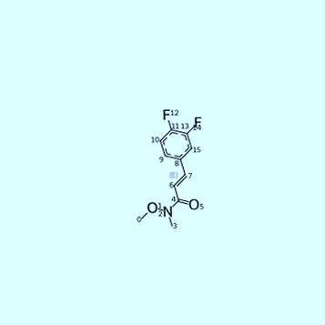 CON(C)C(=O)/C=C/c1ccc(F)c(F)c1